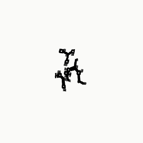 CCOC(C)=O.CO.ClC(Cl)Cl.O=CO